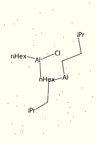 CC(C)C[CH2][Al][CH2]CC(C)C.CCCCC[CH2][Al]([Cl])[CH2]CCCCC